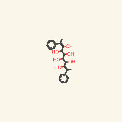 CC(=C(O)C(O)C(O)C(O)C(O)C(O)=C(C)c1ccccc1)c1ccccc1